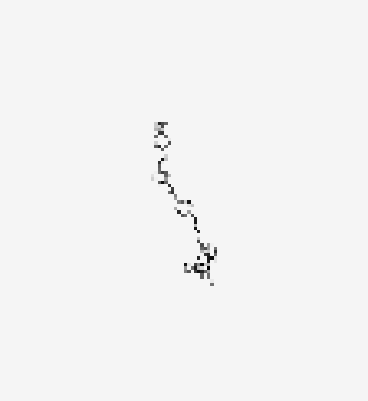 CS(=O)(=O)Cc1nccn1CCCCc1ccc(OCc2coc(C=Cc3ccc(Br)cc3)n2)cc1